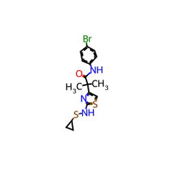 CC(C)(C(=O)Nc1ccc(Br)cc1)c1csc(NSC2CC2)n1